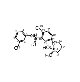 O=C(Nc1cccc(Cl)c1)c1cc(N2CCCS2(O)O)ccc1Cl